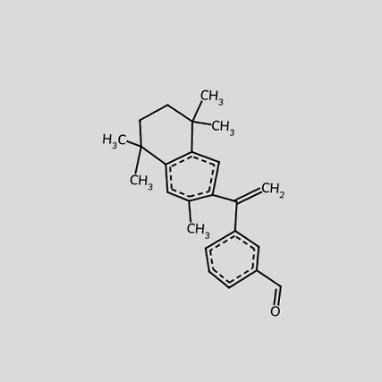 C=C(c1cccc(C=O)c1)c1cc2c(cc1C)C(C)(C)CCC2(C)C